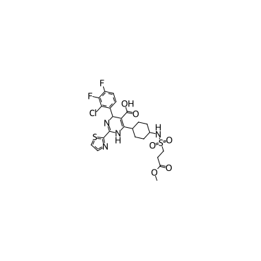 COC(=O)CCS(=O)(=O)NC1CCC(C2=C(C(=O)O)C(c3ccc(F)c(F)c3Cl)N=C(c3nccs3)N2)CC1